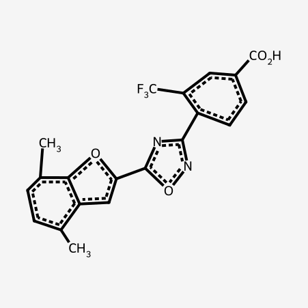 Cc1ccc(C)c2oc(-c3nc(-c4ccc(C(=O)O)cc4C(F)(F)F)no3)cc12